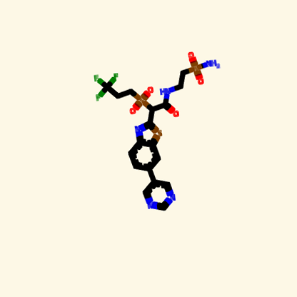 NS(=O)(=O)CCNC(=O)C(c1nc2ccc(-c3cncnc3)cc2s1)S(=O)(=O)CCC(F)(F)F